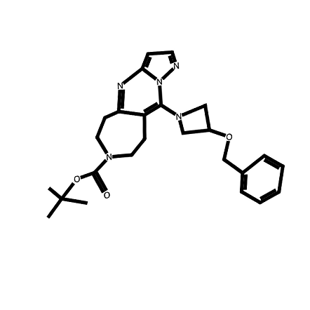 CC(C)(C)OC(=O)N1CCc2nc3ccnn3c(N3CC(OCc4ccccc4)C3)c2CC1